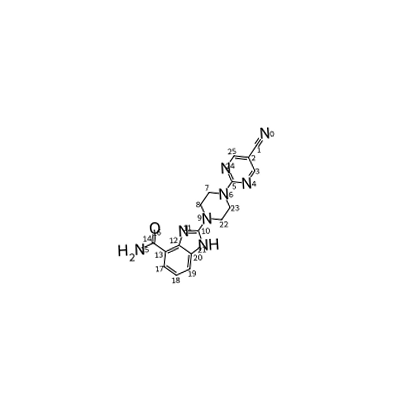 N#Cc1cnc(N2CCN(c3nc4c(C(N)=O)cccc4[nH]3)CC2)nc1